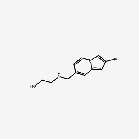 OCCNCc1ccn2cc(Br)cc2c1